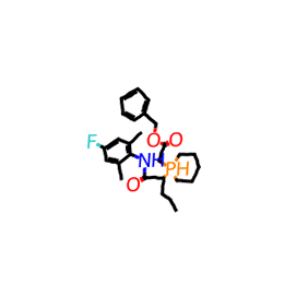 CCCC(C(=O)Nc1c(C)cc(F)cc1C)[PH]1(CC(=O)OCc2ccccc2)CCCCC1